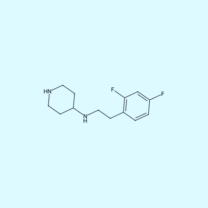 Fc1ccc(CCNC2CCNCC2)c(F)c1